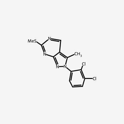 CSc1ncc2c(C)n(-c3cccc(Cl)c3Cl)nc2n1